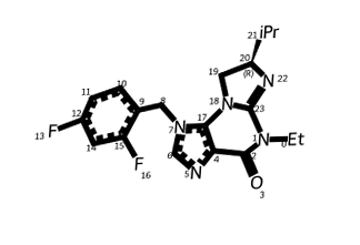 CCN1C(=O)c2ncn(Cc3ccc(F)cc3F)c2N2C[C@@H](C(C)C)N=C12